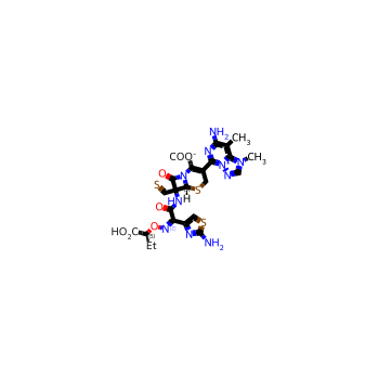 CC[C@H](O/N=C(\C(=O)NC1(C=S)C(=O)N2C(C(=O)[O-])=C(c3nc(N)c(C)c4n(C)cn[n+]34)CS[C@H]21)c1csc(N)n1)C(=O)O